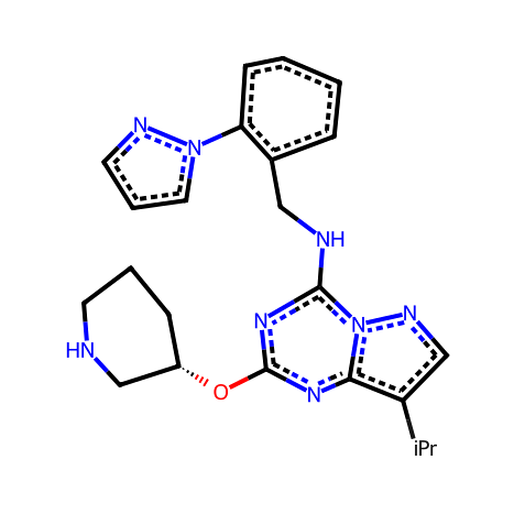 CC(C)c1cnn2c(NCc3ccccc3-n3cccn3)nc(O[C@H]3CCCNC3)nc12